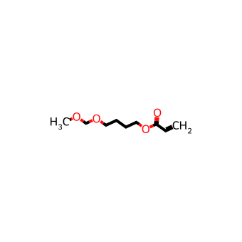 C=CC(=O)OCCCCOCOC